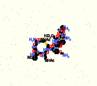 CC(=O)NCCCC[C@@H]1NC(=O)[C@H](Cc2c[nH]c3c(C#N)cccc23)NC(=O)[C@H]([C@@H](C)O)NC(=O)[C@H](CC(N)=O)NC(=O)[C@@H](NC(C)=O)C(C)(C)SSC(C)(C)[C@@H](C(=O)N[C@@H](Cc2ccc(OCCN)cc2)C(=O)N[C@@H](Cc2ccc3ccccc3c2)C(=O)NC2(C(=O)N[C@@H](CCC(=O)O)C(=O)N[C@@H](CC(N)=O)C(=O)N[C@@H](Cc3cccnc3)C(=O)N(C)CC(N)=O)CCOCC2)NC1=O